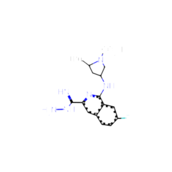 CC(C)(C)C1CC(Nc2nc(C(=N)NN)cc3ccc(F)cc23)CN1C(=O)O